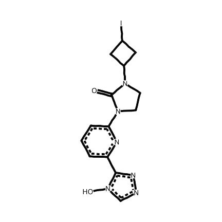 O=C1N(c2cccc(-c3nncn3O)n2)CCN1C1CC(I)C1